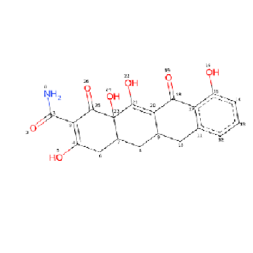 NC(=O)C1=C(O)CC2CC3Cc4cccc(O)c4C(=O)C3=C(O)C2(O)C1=O